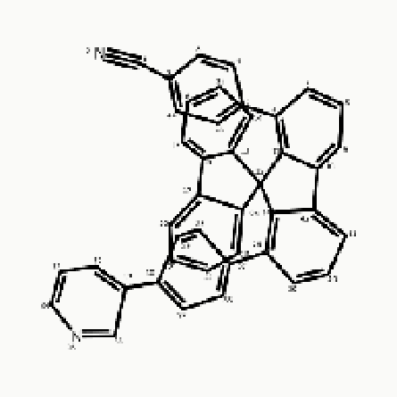 N#Cc1ccc(-c2cccc3c2C2(c4ccccc4-c4ccccc42)c2c(-c4ccc(-c5cccnc5)cc4)cccc2-3)cc1